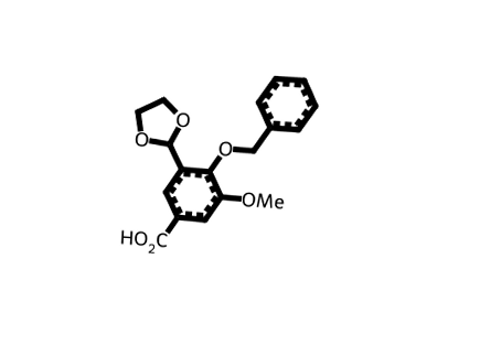 COc1cc(C(=O)O)cc(C2OCCO2)c1OCc1ccccc1